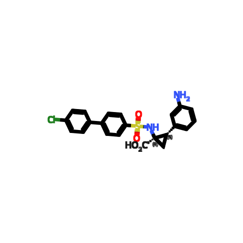 Nc1cccc([C@@H]2C[C@]2(NS(=O)(=O)c2ccc(-c3ccc(Cl)cc3)cc2)C(=O)O)c1